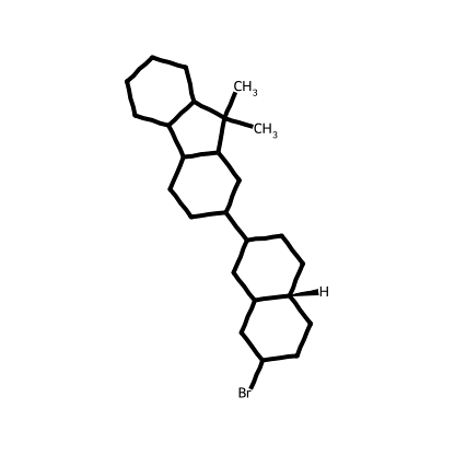 CC1(C)C2CCCCC2C2CCC(C3CC[C@@H]4CCC(Br)CC4C3)CC21